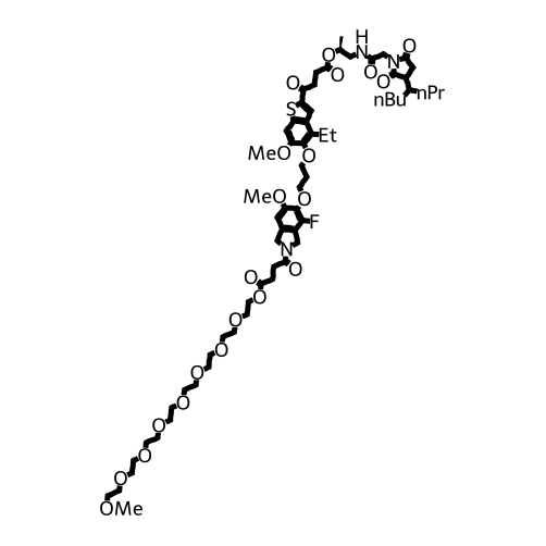 CCCCC(CCC)C1CC(=O)N(CC(=O)NC[C@H](C)OC(=O)CCC(=O)c2cc3c(CC)c(OCCCOc4c(OC)cc5c(c4F)CN(C(=O)CCC(=O)OCCOCCOCCOCCOCCOCCOCCOCCOC)C5)c(OC)cc3s2)C1=O